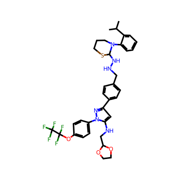 CC(C)c1ccccc1N1CCCSC1NNCc1ccc(-c2cc(NCC3OCCO3)n(-c3ccc(OC(F)(F)C(F)(F)F)cc3)n2)cc1